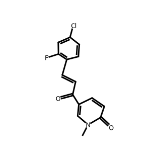 Cn1cc(C(=O)/C=C/c2ccc(Cl)cc2F)ccc1=O